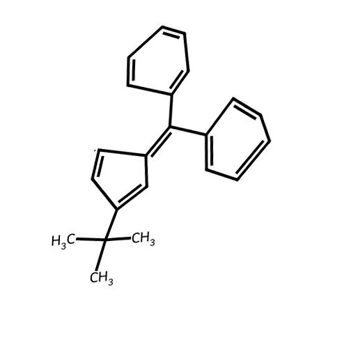 CC(C)(C)C1=CC(=C(c2ccccc2)c2ccccc2)[C]=C1